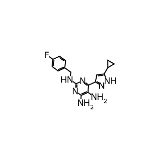 Nc1nc(NCc2ccc(F)cc2)nc(-c2cc(C3CC3)[nH]n2)c1N